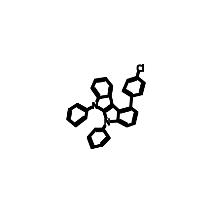 Clc1ccc(-c2cccc3c2c2c4ccccc4n(-c4ccccc4)c2n3-c2ccccc2)cc1